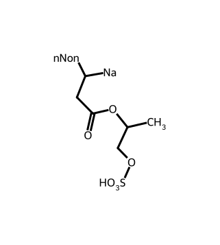 CCCCCCCCC[CH]([Na])CC(=O)OC(C)COS(=O)(=O)O